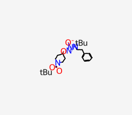 CC(C)(C)OC(=O)N1CCC(O/N=[N+](\[O-])N(CCc2ccccc2)C(C)(C)C)CC1